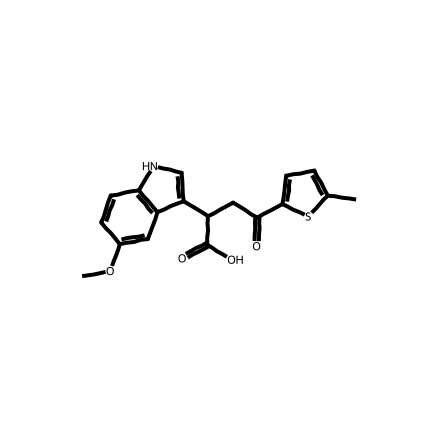 COc1ccc2[nH]cc(C(CC(=O)c3ccc(C)s3)C(=O)O)c2c1